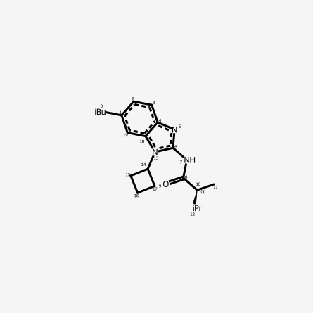 CCC(C)c1ccc2nc(NC(=O)[C@@H](C)C(C)C)n(C3CCC3)c2c1